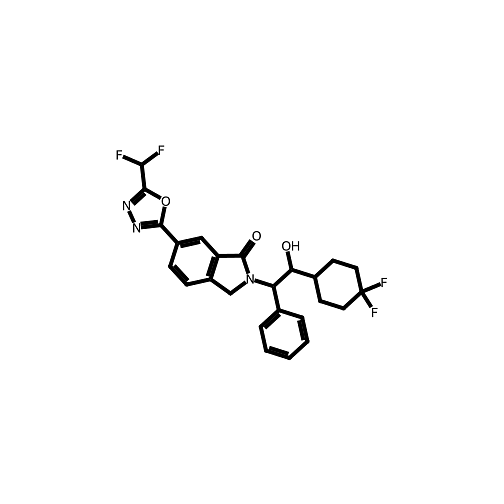 O=C1c2cc(-c3nnc(C(F)F)o3)ccc2CN1C(c1ccccc1)C(O)C1CCC(F)(F)CC1